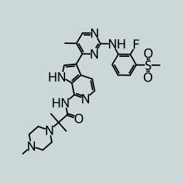 Cc1cnc(Nc2cccc(S(C)(=O)=O)c2F)nc1-c1c[nH]c2c(NC(=O)C(C)(C)N3CCN(C)CC3)nccc12